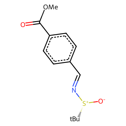 COC(=O)c1ccc(C=N[S@+]([O-])C(C)(C)C)cc1